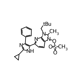 CC1N(CC(C)(C)C)c2nc(-c3[nH]c(C4CC4)nc3-c3ccccc3)ccc2N1OS(C)(=O)=O